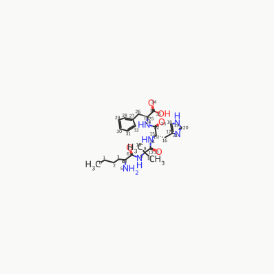 CCCC[C@H](N)C(=O)NC(C)(C)C(=O)N[C@@H](Cc1c[nH]cn1)C(=O)N[C@@H](Cc1ccccc1)C(=O)O